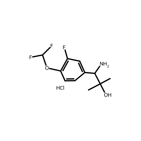 CC(C)(O)C(N)c1ccc(OC(F)F)c(F)c1.Cl